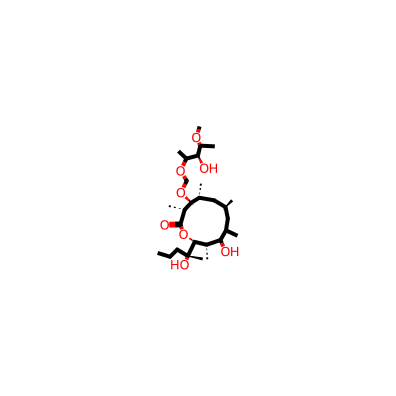 CCC[C@@](C)(O)[C@@H]1OC(=O)[C@H](C)[C@@H](OCOC(C)[C@H](O)C(C)OC)[C@H](C)C[C@@H](C)CC(C)C(O)[C@@H]1C